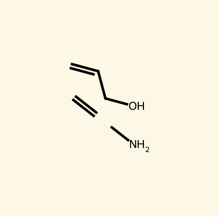 C=C.C=CCO.CN